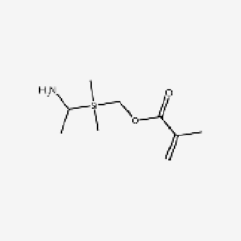 C=C(C)C(=O)OC[Si](C)(C)C(C)N